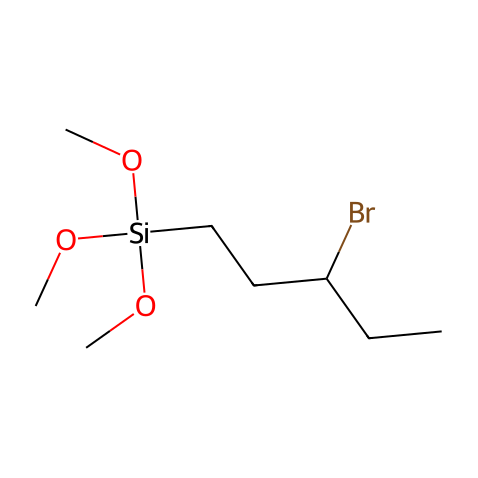 CCC(Br)CC[Si](OC)(OC)OC